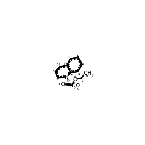 CCOC=O.O.c1ccc2ncccc2c1